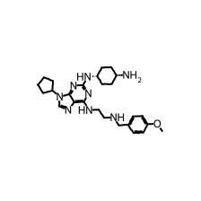 COc1ccc(CNCCNc2nc(N[C@H]3CC[C@H](N)CC3)nc3c2ncn3C2CCCC2)cc1